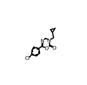 O=C1OC(c2ccc(Cl)cc2)=NCN1CC1CC1